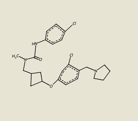 CN(CC1CC(Oc2ccc(CN3CCCC3)c(Cl)c2)C1)C(=O)Nc1ccc(Cl)cc1